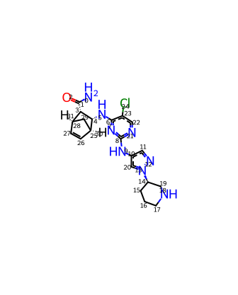 NC(=O)[C@@H]1[C@H](Nc2nc(Nc3cnn([C@@H]4CCCNC4)c3)ncc2Cl)[C@H]2C=C[C@@H]1C2